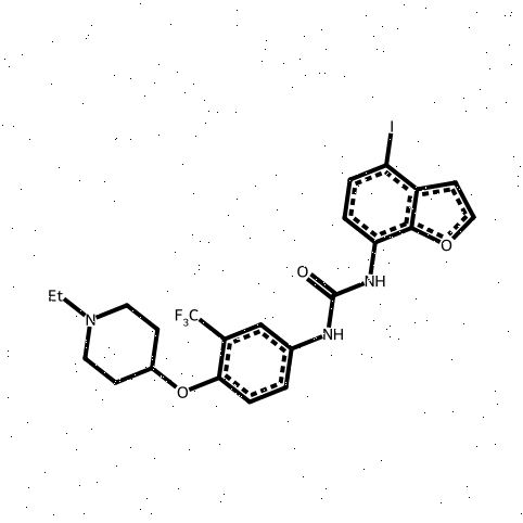 CCN1CCC(Oc2ccc(NC(=O)Nc3ccc(I)c4ccoc34)cc2C(F)(F)F)CC1